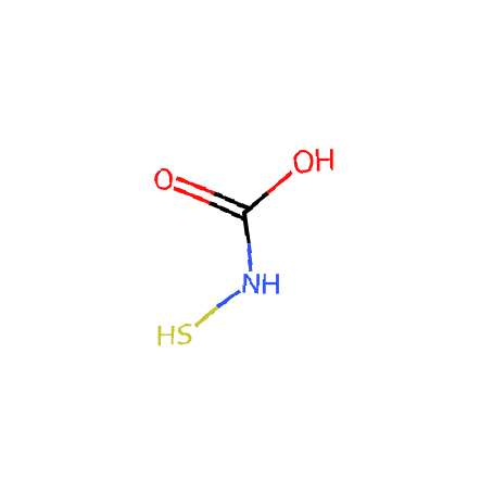 O=C(O)NS